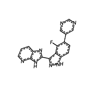 Fc1c(-c2cncnc2)ccc2[nH]nc(-c3nc4cccnc4[nH]3)c12